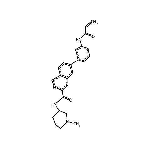 C=CC(=O)Nc1cccc(-c2ccc3cnc(C(=O)NC4CCCN(C)C4)nc3c2)c1